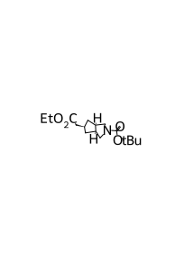 CCOC(=O)C[C@@H]1C[C@@H]2CN(C(=O)OC(C)(C)C)C[C@@H]2C1